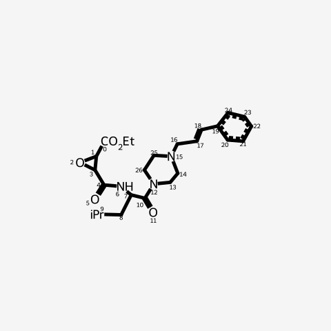 CCOC(=O)C1OC1C(=O)NC(CC(C)C)C(=O)N1CCN(C/C=C/c2ccccc2)CC1